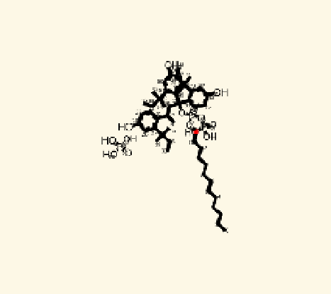 CCCCCCCCCCCCCOP(=O)(OC(CC(C)c1ccc(O)cc1C(C)(C)CC)(c1ccc(O)cc1C(C)(C)CC)c1ccc(O)cc1C(C)(C)CC)OP(=O)(O)O.O=P(O)(O)O